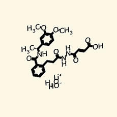 COc1ccc([C@@H](C)NC(=O)c2ccccc2CCC(=O)NNC(=O)/C=C/C(=O)O)cc1OC.O.[Li+].[OH-]